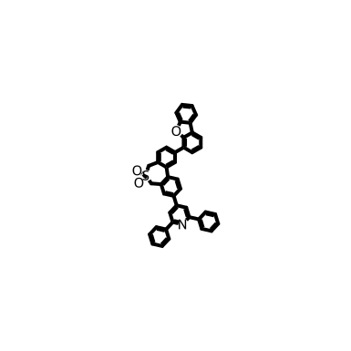 O=S1(=O)Cc2cc(-c3cc(-c4ccccc4)nc(-c4ccccc4)c3)ccc2-c2cc(-c3cccc4c3oc3ccccc34)ccc2C1